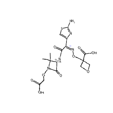 CC1(C)[C@H](NC(=O)/C(=N\OC2(C(=O)O)COC2)c2csc(N)n2)C(=O)N1OCC(=O)O